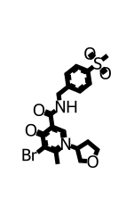 Cc1c(Br)c(=O)c(C(=O)NCc2ccc(S(C)(=O)=O)cc2)cn1C1CCOC1